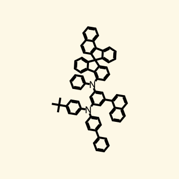 CC(C)(C)c1ccc(N(c2ccc(-c3ccccc3)cc2)c2cc(-c3cccc4ccccc34)cc(N(c3ccccc3)c3cccc4c3-c3ccccc3C43c4ccccc4-c4c3ccc3ccccc43)c2)cc1